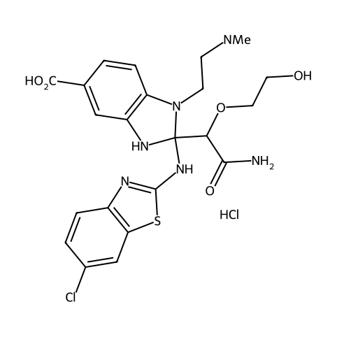 CNCCN1c2ccc(C(=O)O)cc2NC1(Nc1nc2ccc(Cl)cc2s1)C(OCCO)C(N)=O.Cl